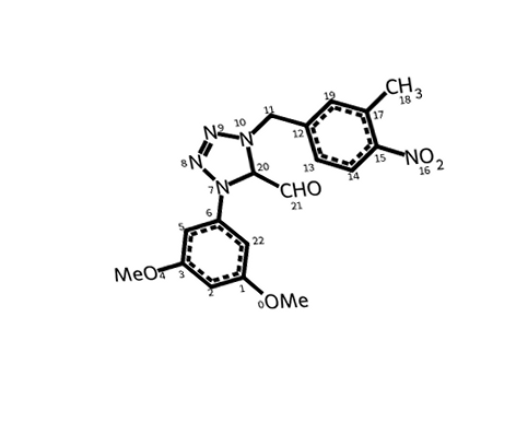 COc1cc(OC)cc(N2N=NN(Cc3ccc([N+](=O)[O-])c(C)c3)C2C=O)c1